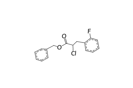 O=C(OCc1ccccc1)C(Cl)Cc1ccccc1F